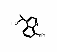 CCCc1cccc2c(C(C)O)ccnc12